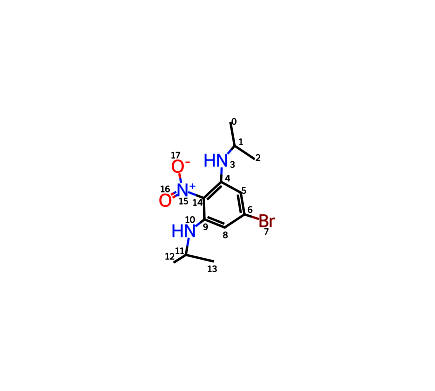 CC(C)Nc1cc(Br)cc(NC(C)C)c1[N+](=O)[O-]